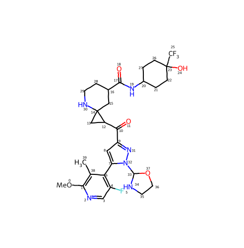 COc1ncc(F)c(-c2cc(C(=O)C3CC34CC(C(=O)NC3CCC(O)(C(F)(F)F)CC3)CCN4)nn2C2NCCO2)c1C